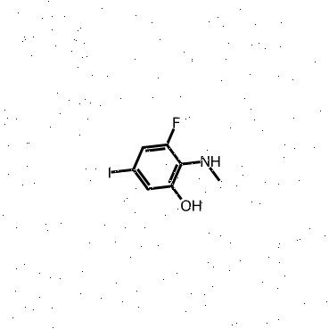 CNc1c(O)cc(I)cc1F